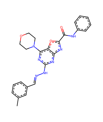 Cc1cccc(/C=N/Nc2nc(N3CCOCC3)c3oc(C(=O)Nc4ccccc4)nc3n2)c1